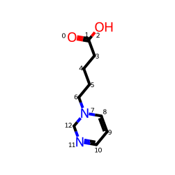 O=C(O)CCCCN1C=CC=NC1